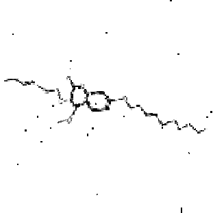 CCC=CCCOc1c(OC)c2ccc(OCCCCCCCCCC)cc2oc1=O